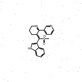 CS(=O)(=O)C(=C1CCCN=C1c1cccnc1)c1c[nH]c2ccccc12